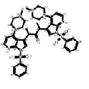 CC(C(=O)C(C)c1cn(S(=O)(=O)c2ccccc2)c2nccc(N3CCN(C)CC3)c12)c1cn(S(=O)(=O)c2ccccc2)c2nccc(N3CCN(C)CC3)c12